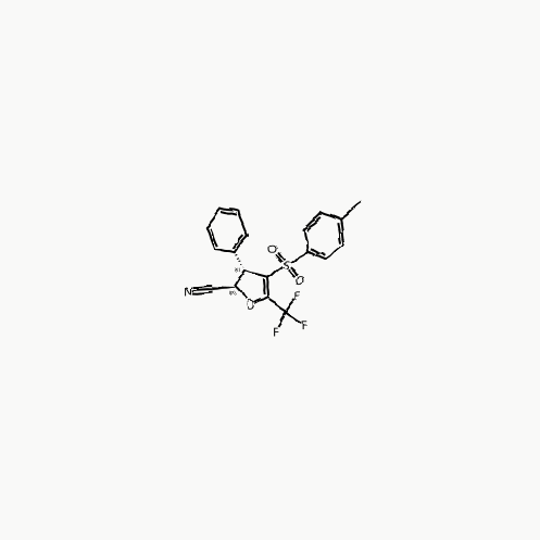 Cc1ccc(S(=O)(=O)C2=C(C(F)(F)F)O[C@@H](C#N)[C@@H]2c2ccccc2)cc1